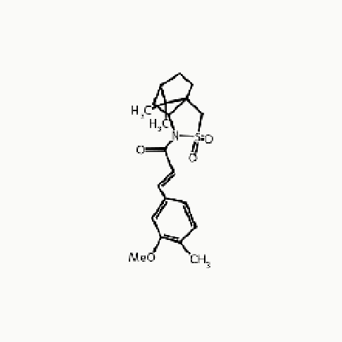 COc1cc(C=CC(=O)N2C3CC4CCC3(CS2(=O)=O)C4(C)C)ccc1C